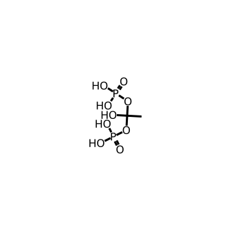 CC(O)(OP(=O)(O)O)OP(=O)(O)O